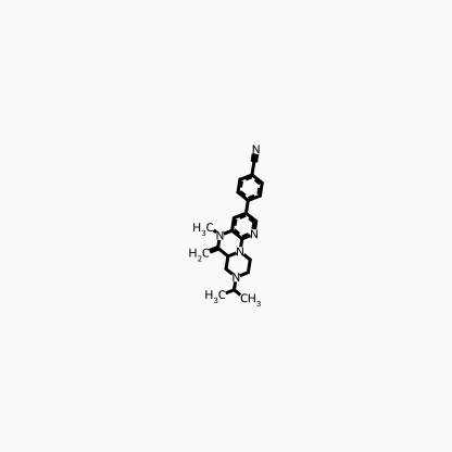 C=C1C2CN(C(C)C)CCN2c2ncc(-c3ccc(C#N)cc3)cc2N1C